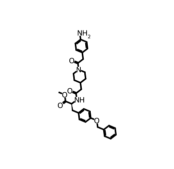 COC(=O)[C@H](Cc1ccc(OCc2ccccc2)cc1)NC(=O)CC1CCN(C(=O)Cc2ccc(N)cc2)CC1